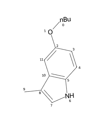 CCCCOc1ccc2[nH]cc(C)c2c1